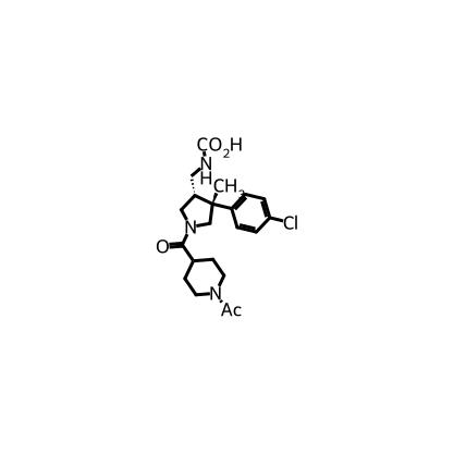 CC(=O)N1CCC(C(=O)N2C[C@H](CNC(=O)O)[C@](C)(c3ccc(Cl)cc3)C2)CC1